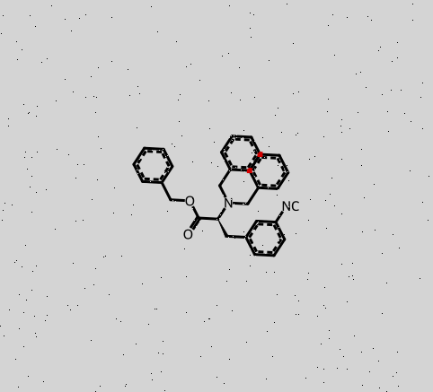 [C-]#[N+]c1cccc(C[C@@H](C(=O)OCc2ccccc2)N(Cc2ccccc2)Cc2ccccc2)c1